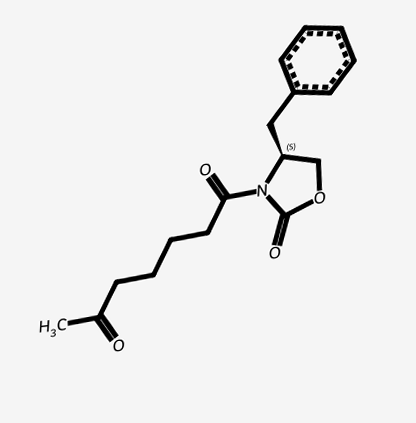 CC(=O)CCCCC(=O)N1C(=O)OC[C@@H]1Cc1ccccc1